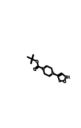 CC(C)(C)OC(=O)N1CCN(C2=CNOS2)CC1